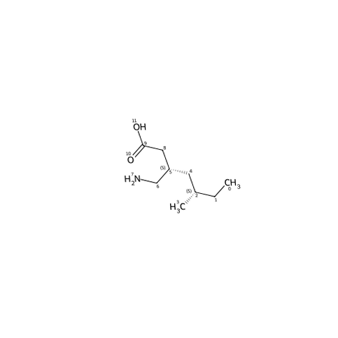 CC[C@H](C)C[C@H](CN)CC(=O)O